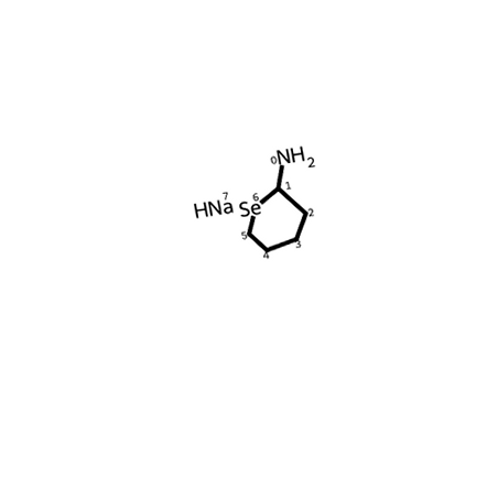 NC1CCCC[Se]1.[NaH]